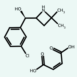 CC1(C)CC([C@H](O)c2cccc(Cl)c2)N1.O=C(O)/C=C\C(=O)O